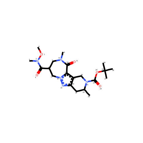 CON(C)C(=O)C1CN(C)C(=O)c2c3c(nn2C1)CC(C)N(C(=O)OC(C)(C)C)C3